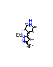 CCn1nc(C(C)C)c(C)c1C1CCNCC1